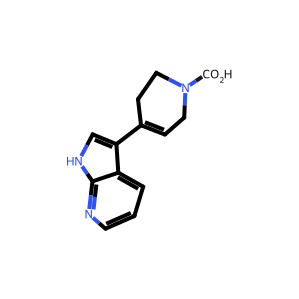 O=C(O)N1CC=C(c2c[nH]c3ncccc23)CC1